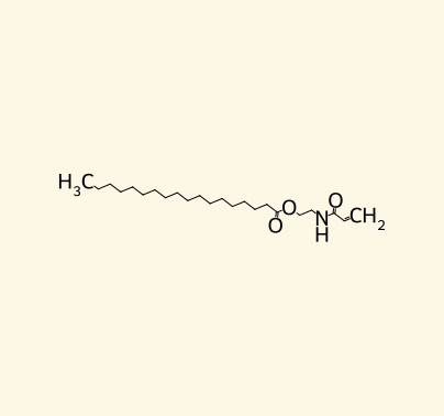 C=CC(=O)NCCOC(=O)CCCCCCCCCCCCCCCCC